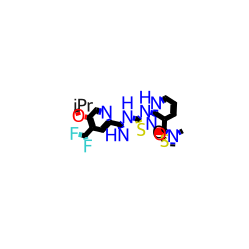 CC(C)Oc1cnc(C(=N)NC(=S)NC2(N=C=S)N=CC=CC2C(=O)N(C)C)cc1C(F)F